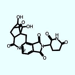 NC(=O)C1CC2C(=O)C1(Cc1cccc3c1C(=O)N(C1CCC(=O)NC1=O)C3=O)C(O)C2O